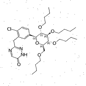 CCCCOC[C@H]1O[C@@H](c2ccc(Cl)c(Cc3ncc(=O)[nH]n3)c2)[C@H](OCCCC)[C@@H](OCCCC)[C@@H]1OCCCC